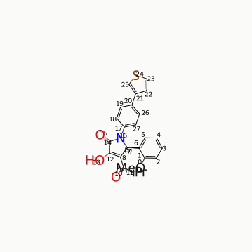 COc1ccccc1[C@H]1C(C(=O)C(C)C)=C(O)C(=O)N1c1ccc(-c2ccsc2)cc1